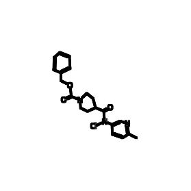 Cc1ccc(N(Cl)C(=O)C2CCN(C(=O)OCc3ccccc3)CC2)cn1